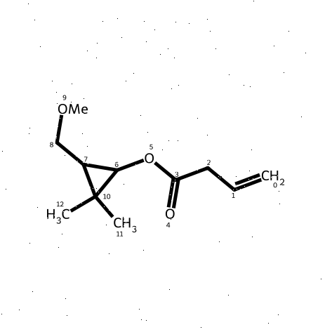 C=CCC(=O)OC1C(COC)C1(C)C